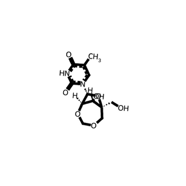 Cc1cn([C@@H]2O[C@@]3(CO)COCO[C@@H]2[C@@H]3O)c(=O)[nH]c1=O